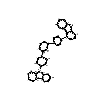 c1cc(-c2ccc(-c3cccc4oc5ccccc5c34)cc2)cc(-c2ccc(-n3c4ccccc4c4ccccc43)cc2)c1